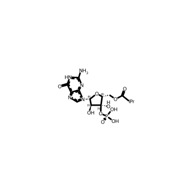 CC(C)C(=O)OC[C@H]1O[C@@H](n2cnc3c(=O)[nH]c(N)nc32)[C@H](O)[C@]1(O)OP(=O)(O)O